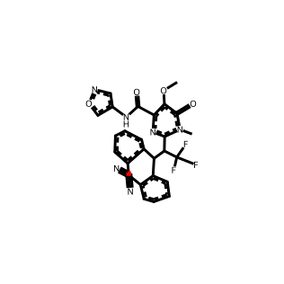 COc1c(C(=O)Nc2cnoc2)nc(C(C(c2ccccc2C#N)c2ccccc2C#N)C(F)(F)F)n(C)c1=O